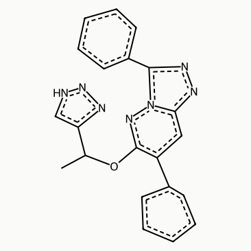 CC(Oc1nn2c(-c3ccccc3)nnc2cc1-c1ccccc1)c1c[nH]nn1